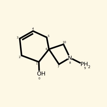 OC1CC=CCC12CN(P)C2